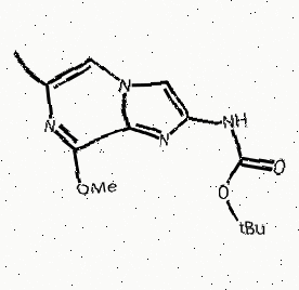 COc1nc(C)cn2cc(NC(=O)OC(C)(C)C)nc12